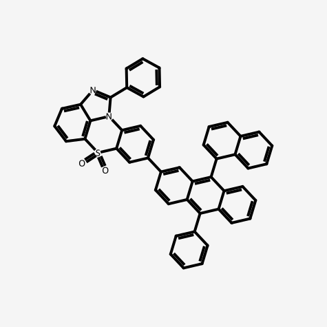 O=S1(=O)c2cc(-c3ccc4c(-c5ccccc5)c5ccccc5c(-c5cccc6ccccc56)c4c3)ccc2-n2c(-c3ccccc3)nc3cccc1c32